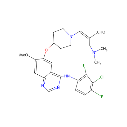 COc1cc2ncnc(Nc3ccc(F)c(Cl)c3F)c2cc1OC1CCN(C=C(C=O)CN(C)C)CC1